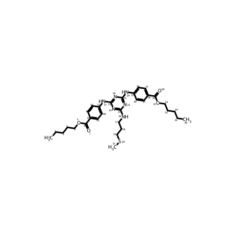 CCCCCOC(=O)c1ccc(Nc2nc(NCCCSC)nc(Nc3ccc(C(=O)OCCCCC)cc3)n2)cc1